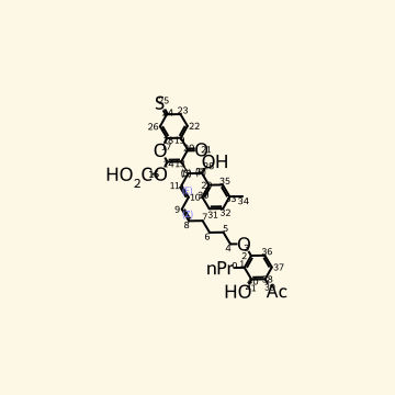 CCCc1c(OCCCC/C=C\C=C\[C@@H](c2c(OC(=O)O)oc3c(c2=O)=CCC(=S)C=3)[C@@H](O)c2cccc(C)c2)ccc(C(C)=O)c1O